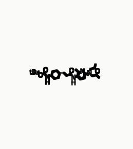 Cc1nc(N2CC(C)OC(C)C2)ccc1NC(=O)CC[C@H]1CC[C@H](NC(=O)OC(C)(C)C)CC1